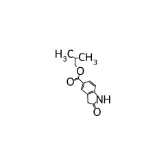 CC(C)COC(=O)c1ccc2c(c1)CC(=O)N2